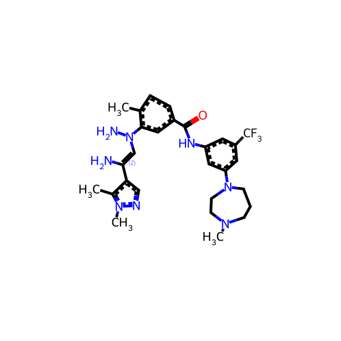 Cc1ccc(C(=O)Nc2cc(N3CCCN(C)CC3)cc(C(F)(F)F)c2)cc1N(N)/C=C(\N)c1cnn(C)c1C